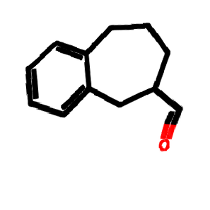 O=CC1CCCc2ccccc2C1